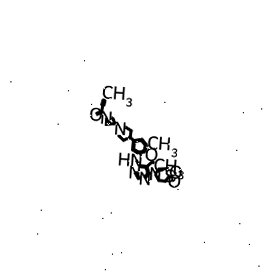 CC#CC(=O)N1CC(N2CCC(c3cc(C)c4c(c3)Nc3ncnc(N5CCS(=O)(=O)CC5)c3C(C)O4)CC2)C1